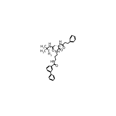 CC(C)(C)NC(=O)C[C@H](NC(=O)CCc1ccccc1)C(=O)NCCCNC(=O)c1cccc(-c2ccccc2)c1